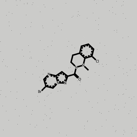 CN1c2c(Cl)cccc2CCN1C(=O)c1cc2ncc(Br)cn2n1